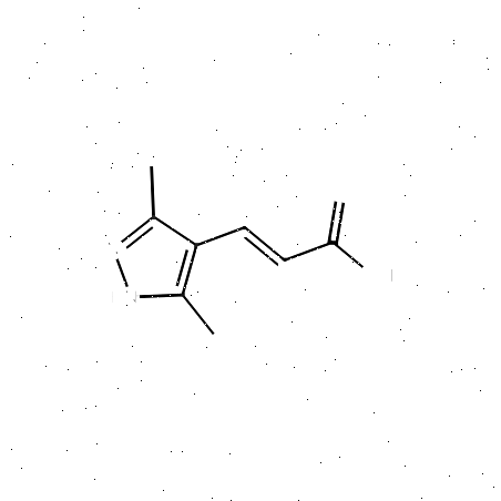 Cc1n[nH]c(C)c1/C=C/C(=O)O